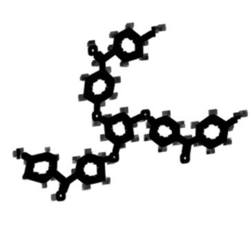 O=C(c1ccc(F)cc1)c1ccc(Oc2cc(Oc3ccc(C(=O)c4ccc(F)cc4)cc3)cc(Oc3ccc(C(=O)c4ccc(F)cc4)cc3)c2)cc1